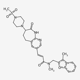 Cc1c(CN(C)C(=O)/C=C/c2cnc3c(c2)CCC(N2CCN(S(C)(=O)=O)CC2)C(=O)N3)oc2ccccc12